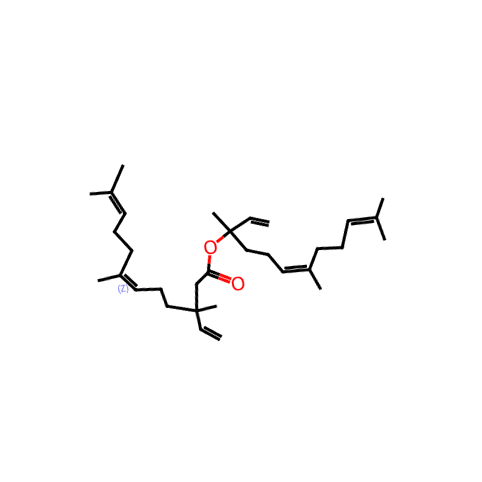 C=CC(C)(CC/C=C(/C)CCC=C(C)C)CC(=O)OC(C)(C=C)CCC=C(C)CCC=C(C)C